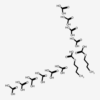 CCCCOC(=O)O.CCCCOC(=O)O.O=C(O)O.O=C(O)O.O=C(O)O.O=C(O)O.O=C(O)O.O=C(O)O.O=C(O)O.O=C(O)O.O=C(O)O.O=C(O)O